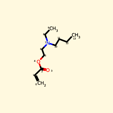 C=CC(=O)OCCN(CC)CCCC